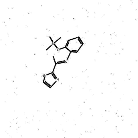 CC(=Nc1ccccc1O[Si](C)(C)C)c1ncc[nH]1